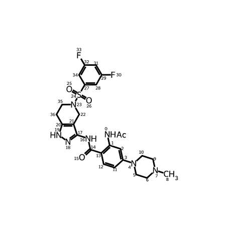 CC(=O)Nc1cc(N2CCN(C)CC2)ccc1C(=O)Nc1n[nH]c2c1CN(S(=O)(=O)c1cc(F)cc(F)c1)CC2